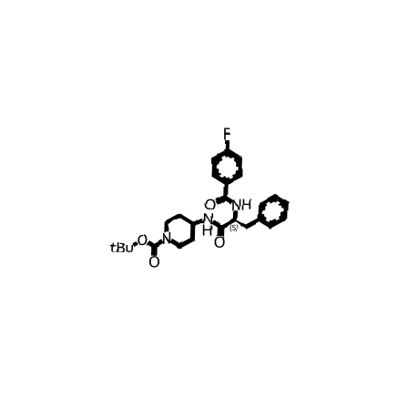 CC(C)(C)OC(=O)N1CCC(NC(=O)[C@H](Cc2ccccc2)NC(=O)c2ccc(F)cc2)CC1